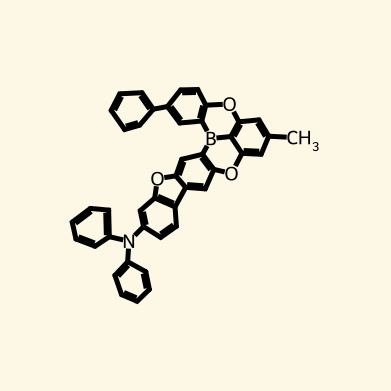 Cc1cc2c3c(c1)Oc1cc4c(cc1B3c1cc(-c3ccccc3)ccc1O2)oc1cc(N(c2ccccc2)c2ccccc2)ccc14